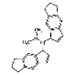 C[SiH](C)[Hf]([CH]1C=Cc2cc3c(cc21)CCC3)[CH]1C=Cc2cc3c(cc21)CCC3